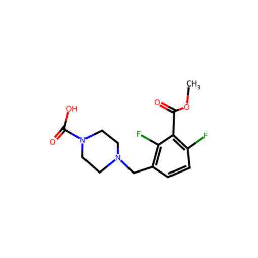 COC(=O)c1c(F)ccc(CN2CCN(C(=O)O)CC2)c1F